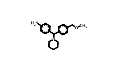 COCc1ccc(C(c2ccc(N)cc2)N2CCCCC2)cc1